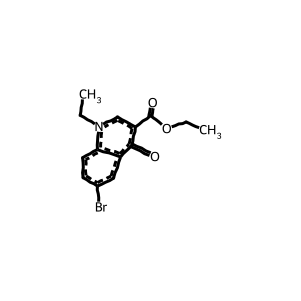 CCOC(=O)c1cn(CC)c2ccc(Br)cc2c1=O